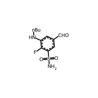 CCCCNc1cc(C=O)cc(S(N)(=O)=O)c1F